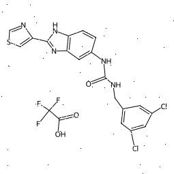 O=C(NCc1cc(Cl)cc(Cl)c1)Nc1ccc2[nH]c(-c3cscn3)nc2c1.O=C(O)C(F)(F)F